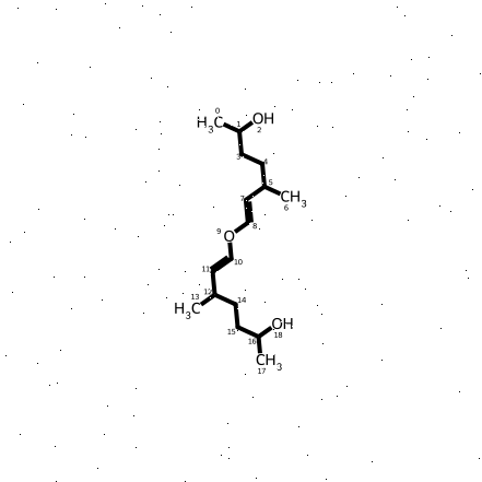 CC(O)CCC(C)C=COC=CC(C)CCC(C)O